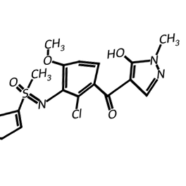 COc1ccc(C(=O)c2cnn(C)c2O)c(Cl)c1N=S(C)(=O)C1=CCCS1